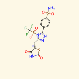 NS(=O)(=O)c1ccc(-c2nnc(/C=C3\SC(=O)NC3=O)n2S(=O)(=O)C(F)(F)F)cc1